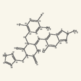 Cn1cc2cc(/N=c3\[nH]c(=O)n(Cc4nc[nH]n4)c(=O)n3Cc3cc(P)c(F)cc3F)c(Cl)cc2n1